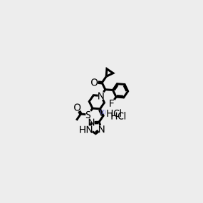 CC(=O)SC1CCN(C(C(=O)C2CC2)c2ccccc2F)C/C1=C/c1nc[nH]n1.Cl.Cl